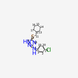 Clc1ccc(Nc2n[nH]c(SCC3CCCCC3)n2)cc1